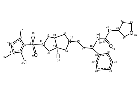 Cc1nn(C)c(Cl)c1S(=O)(=O)N1CC2CN(CCC(NC(=O)OC3CCOC3)c3ccccc3)C[C@H]2C1